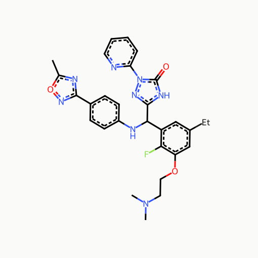 CCc1cc(OCCN(C)C)c(F)c(C(Nc2ccc(-c3noc(C)n3)cc2)c2nn(-c3ccccn3)c(=O)[nH]2)c1